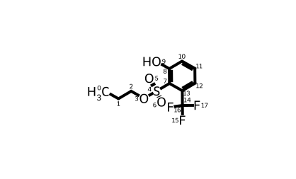 CCCOS(=O)(=O)c1c(O)cccc1C(F)(F)F